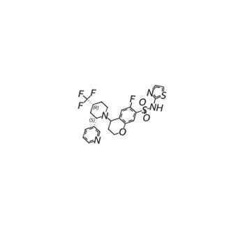 O=S(=O)(Nc1nccs1)c1cc2c(cc1F)C(N1CC[C@@H](C(F)(F)F)C[C@H]1c1cccnc1)CCO2